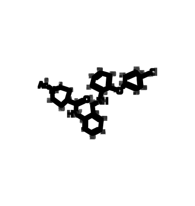 CC(=O)N1CCC(C(=O)Nc2ccccc2CNc2ccccc2Oc2ccc(Cl)cc2)CC1